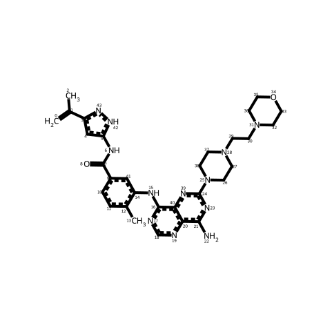 C=C(C)c1cc(NC(=O)c2ccc(C)c(Nc3ncnc4c(N)nc(N5CCN(CCN6CCOCC6)CC5)nc34)c2)[nH]n1